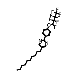 CCCCCCCCCCc1cnc(-c2ccc(OC(F)C(F)(F)C(F)(F)C(F)(F)F)cc2)nc1